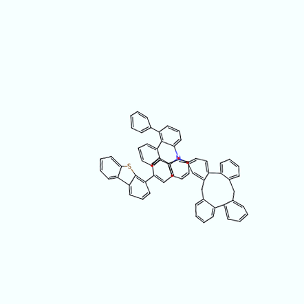 c1ccc(-c2ccccc2-c2c(-c3ccccc3)cccc2N(c2ccc(-c3cccc4c3sc3ccccc34)cc2)c2ccc3c(c2)Cc2ccccc2-c2ccccc2Cc2ccccc2-3)cc1